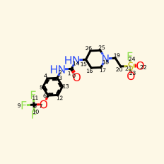 O=C(Nc1ccc(OC(F)(F)F)cc1)NC1CCN(CCS(=O)(=O)F)CC1